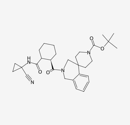 CC(C)(C)OC(=O)N1CCC2(CC1)CN(C(=O)[C@@H]1CCCCC1C(=O)NC1(C#N)CC1)Cc1ccccc12